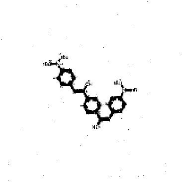 CCCCN(CCCC)c1ccc(C=C(C#N)c2ccc(C(C#N)=Cc3ccc(N(CCCC)CCCC)cc3)cc2)cc1